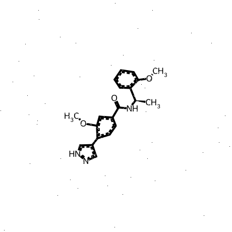 COc1cc(C(=O)N[C@H](C)c2ccccc2OC)ccc1-c1cn[nH]c1